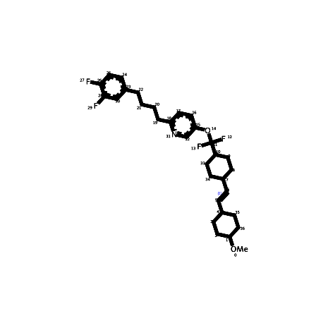 COC1CCC(/C=C/C2CCC(C(F)(F)Oc3ccc(CCCCc4ccc(F)c(F)c4)nc3)CC2)CC1